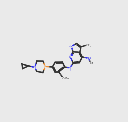 CCNc1cc(Nc2ccc(P3CCN(C4CC4)CC3)cc2OC)nc2[nH]cc(C(F)(F)F)c12